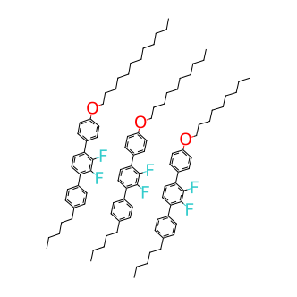 CCCCCCCCCCCCOc1ccc(-c2ccc(-c3ccc(CCCCC)cc3)c(F)c2F)cc1.CCCCCCCCCCOc1ccc(-c2ccc(-c3ccc(CCCCC)cc3)c(F)c2F)cc1.CCCCCCCCCOc1ccc(-c2ccc(-c3ccc(CCCCC)cc3)c(F)c2F)cc1